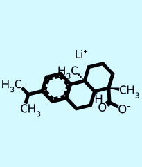 CC(C)c1ccc2c(c1)CC[C@H]1[C@@](C)(C(=O)[O-])CCC[C@]21C.[Li+]